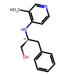 O=S(=O)(O)c1cnccc1N[C@H](CO)Cc1ccccc1